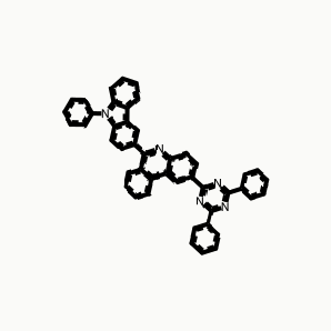 c1ccc(-c2nc(-c3ccccc3)nc(-c3ccc4nc(-c5ccc6c(c5)c5ccccc5n6-c5ccccc5)c5ccccc5c4c3)n2)cc1